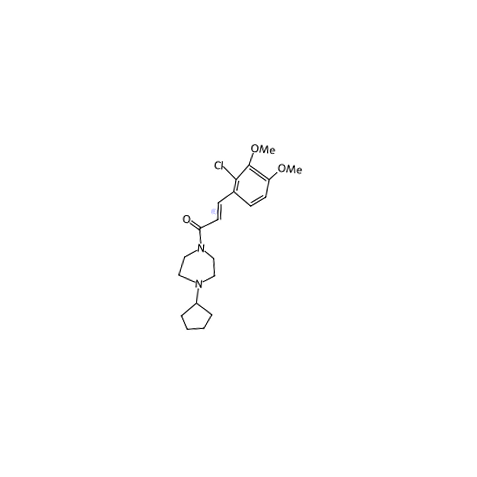 COc1ccc(/C=C/C(=O)N2CCN(C3CCCC3)CC2)c(Cl)c1OC